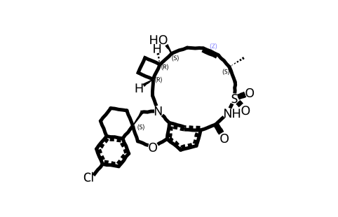 C[C@H]1/C=C\C[C@H](O)[C@@H]2CC[C@H]2CN2C[C@@]3(CCCc4cc(Cl)ccc43)COc3ccc(cc32)C(=O)NS(=O)(=O)C1